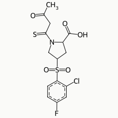 CC(=O)CC(=S)N1CC(S(=O)(=O)c2ccc(F)cc2Cl)CC1C(=O)O